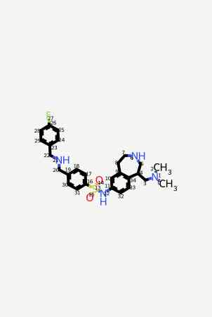 CN(C)CC1CNCCc2cc(NS(=O)(=O)c3ccc(CNCc4ccc(F)cc4)cc3)ccc21